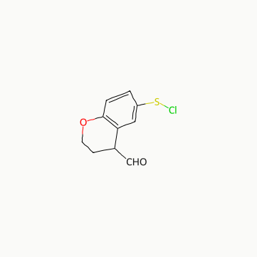 O=CC1CCOc2ccc(SCl)cc21